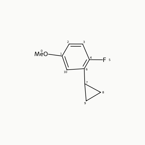 COc1ccc(F)c(C2CC2)c1